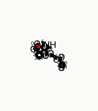 COC(=O)C1=C(C)NC(C)=C(C(=O)OCCOC(=O)c2ccoc2)C1c1ccccc1[N+](=O)[O-]